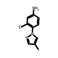 Nc1ccc(-n2cc(I)cn2)c(Cl)c1